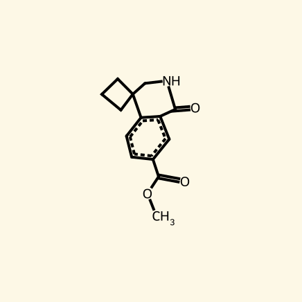 COC(=O)c1ccc2c(c1)C(=O)NCC21CCC1